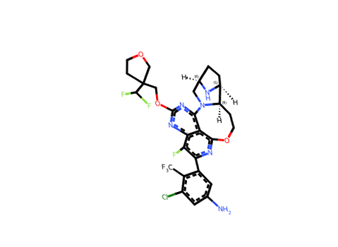 Nc1cc(Cl)c(C(F)(F)F)c(-c2nc3c4c(nc(OCC5(C(F)F)CCOC5)nc4c2F)N2C[C@H]4CC[C@H](N4)[C@H]2CCO3)c1